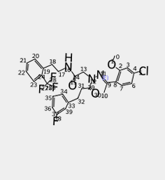 COc1cc(Cl)ccc1/C(C)=N/N(CC(=O)NCCc1ccccc1C(F)(F)F)C(=O)CCc1cccc(F)c1